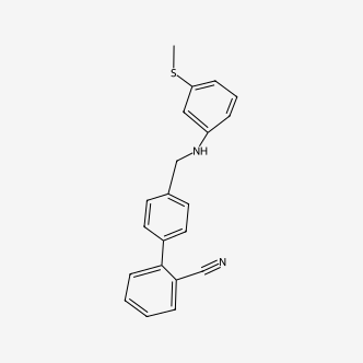 CSc1cccc(NCc2ccc(-c3ccccc3C#N)cc2)c1